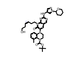 Cc1cccc2c1N(C(=O)OC(C)(C)C)CCN2c1cc2cnc(Nc3cnn(C4CCCCO4)c3)nc2n(CC/C=C\CCO)c1=O